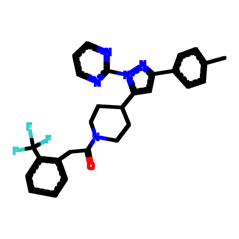 Cc1ccc(-c2cc(C3CCN(C(=O)Cc4ccccc4C(F)(F)F)CC3)n(-c3ncccn3)n2)cc1